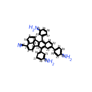 N#Cc1ccc2c3c(cccc13)-c1c-2c(-c2cccc(N)c2)c2cc(-c3ccc(N)cc3)ccc2c1-c1cccc(N)c1